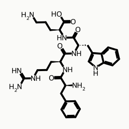 N=C(N)NCCC[C@H](NC(=O)[C@@H](N)Cc1ccccc1)C(=O)N[C@@H](Cc1c[nH]c2ccccc12)C(=O)N[C@@H](CCCN)C(=O)O